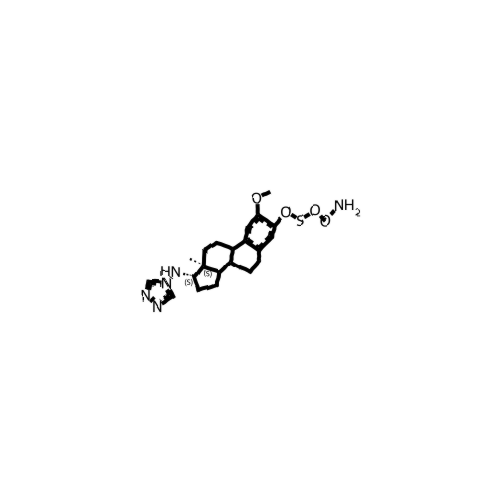 COc1cc2c(cc1OSOON)CCC1C2CC[C@@]2(C)C1CC[C@@H]2Nn1cnnc1